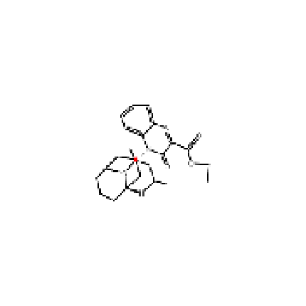 CCOC(=O)c1nc2ccccc2n([C@H]2CC3CCC[C@@H](C2)N3C(C)CC(C)C)c1=O